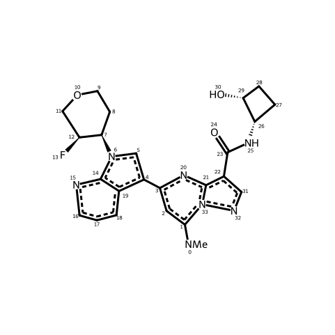 CNc1cc(-c2cn([C@@H]3CCOC[C@@H]3F)c3ncccc23)nc2c(C(=O)N[C@H]3CC[C@H]3O)cnn12